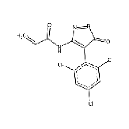 C=CC(=O)NC1=C(c2c(Cl)cc(Cl)cc2Cl)C(=O)N=N1